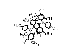 Cc1ccc(N(c2c(C)cc(C)c(C)c2C)c2c3ccc(C(C)(C)C)cc3c(N(c3ccc(C)cc3)c3c(C)cc(C)c(C)c3C)c3ccc(C(C)(C)C)cc23)cc1